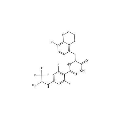 CC(Nc1cc(F)c(C(=O)NC(Cc2ccc(Br)c3c2CCCO3)C(=O)O)c(F)c1)C(F)(F)F